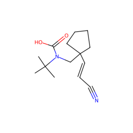 CC(C)(C)N(CC1(C=CC#N)CCCC1)C(=O)O